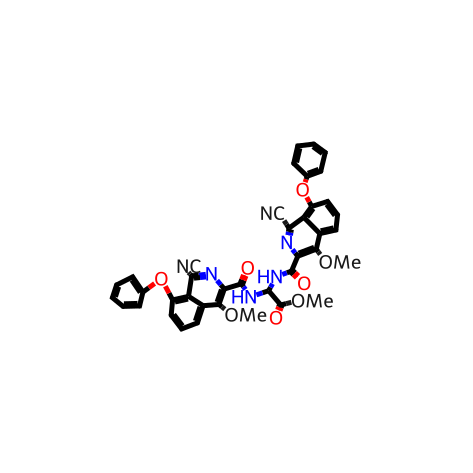 COC(=O)C(NC(=O)c1nc(C#N)c2c(Oc3ccccc3)cccc2c1OC)NC(=O)c1nc(C#N)c2c(Oc3ccccc3)cccc2c1OC